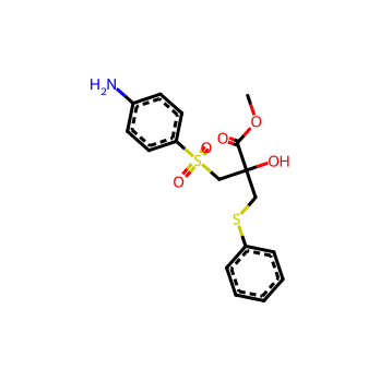 COC(=O)C(O)(CSc1ccccc1)CS(=O)(=O)c1ccc(N)cc1